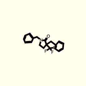 O=C1N(Cc2ccccc2)CCC1(Cc1ccccc1)C(F)(F)F